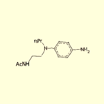 CCCN(CCNC(C)=O)c1ccc(N)cc1